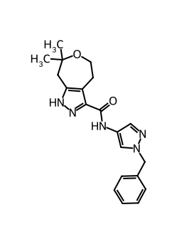 CC1(C)Cc2[nH]nc(C(=O)Nc3cnn(Cc4ccccc4)c3)c2CCO1